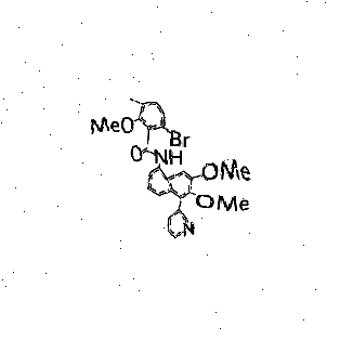 COc1cc2c(NC(=O)c3c(Br)ccc(C)c3OC)cccc2c(-c2cccnc2)c1OC